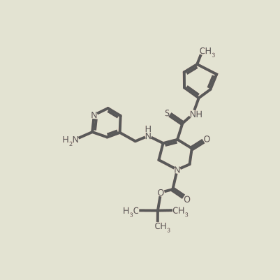 Cc1ccc(NC(=S)C2=C(NCc3ccnc(N)c3)CN(C(=O)OC(C)(C)C)CC2=O)cc1